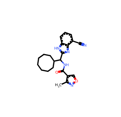 Cc1nocc1C(=O)NC(c1nc2c(C#N)cccc2[nH]1)C1CCCCCCC1